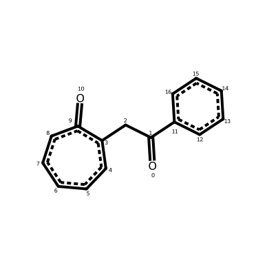 O=C(Cc1cccccc1=O)c1ccccc1